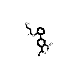 COC(=O)c1ccc(-c2ccccc2O[C@H](C)CCO)cc1[N+](=O)[O-]